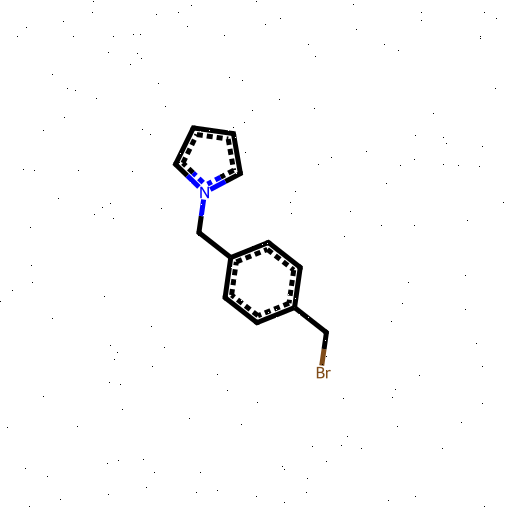 BrCc1ccc(Cn2cccc2)cc1